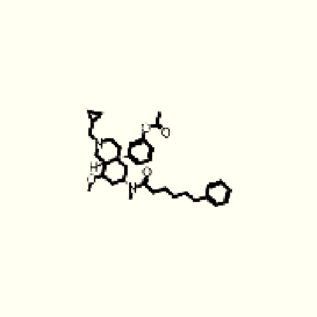 COC1C[C@@H](N(C)C(=O)CCCCCc2ccccc2)C[C@]2(c3cccc(OC(C)=O)c3)CCN(CC3CC3)C[C@@H]12